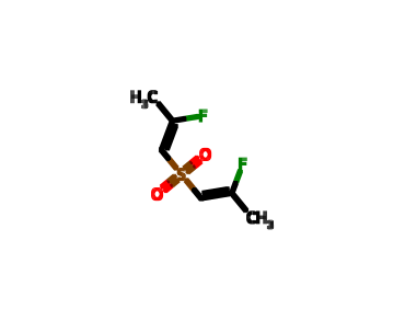 CC(F)=CS(=O)(=O)C=C(C)F